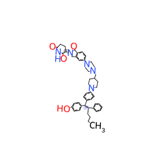 CCCC/C(=C(\c1ccc(O)cc1)c1ccc(N2CCC(CN3CCN(c4ccc5c(c4)CN([C@H]4CCC(=O)NC4=O)C5=O)CC3)CC2)cc1)c1ccccc1